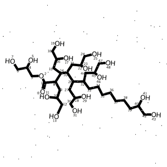 O=C(OCC(O)CO)C(CC(O)CO)C(CC(O)CO)C(CC(O)CO)C(CC(O)CO)C(CCCCCCCC(O)CO)CC(O)CO